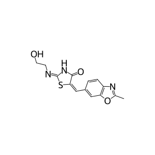 Cc1nc2ccc(C=C3SC(=NCCO)NC3=O)cc2o1